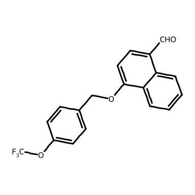 O=Cc1ccc(OCc2ccc(OC(F)(F)F)cc2)c2ccccc12